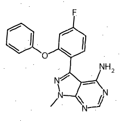 Cn1nc(-c2ccc(F)cc2Oc2ccccc2)c2c(N)ncnc21